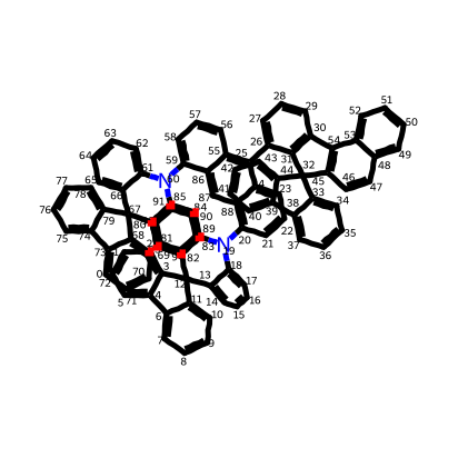 c1ccc2c(c1)-c1ccccc1C21c2ccccc2N(c2cccc3c(-c4cccc5c4C4(c6ccccc6-c6ccccc64)c4ccc6ccccc6c4-5)c4cccc(N5c6ccccc6C6(c7ccccc7-c7ccccc76)c6ccccc65)c4cc23)c2ccccc21